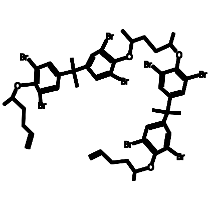 C=CCCC(C)Oc1c(Br)cc(C(C)(C)c2cc(Br)c(OC(C)CCC(C)Oc3c(Br)cc(C(C)(C)c4cc(Br)c(OC(C)CCC=C)c(Br)c4)cc3Br)c(Br)c2)cc1Br